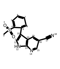 CS(=O)(=O)c1ccccc1-c1c[nH]c2ncc(C#N)cc12